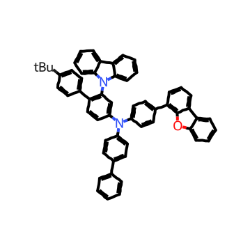 CC(C)(C)c1ccc(-c2ccc(N(c3ccc(-c4ccccc4)cc3)c3ccc(-c4cccc5c4oc4ccccc45)cc3)cc2-n2c3ccccc3c3ccccc32)cc1